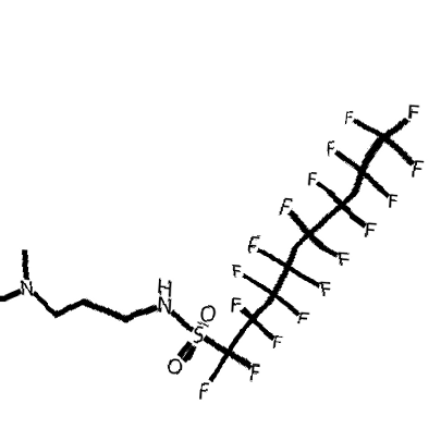 CN(C)CCCNS(=O)(=O)C(F)(F)C(F)(F)C(F)(F)C(F)(F)C(F)(F)C(F)(F)C(F)(F)C(F)(F)F